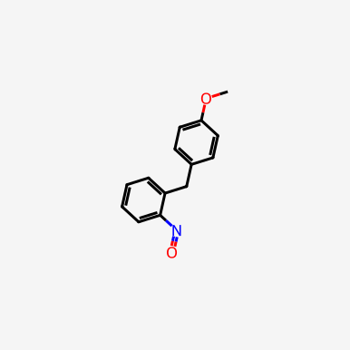 COc1ccc(Cc2ccccc2N=O)cc1